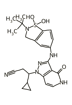 CC(C)(C)N1Cc2cc(Nc3nn(C(CC#N)C4CC4)c4cc[nH]c(=O)c34)ccc2S1(O)O